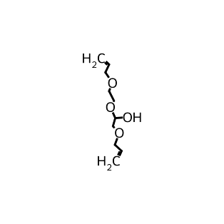 C=CCOCCOC(O)COCC=C